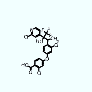 CC(c1ccc(Oc2ccc(C(=O)O)c(Cl)c2)cc1Cl)C(O)(c1ccnc(Cl)c1)C(F)(F)F